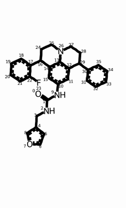 O=C(NCc1ccoc1)Nc1cc2c3c(c1)C(c1ccccc1F)CCN3CCC2c1ccccc1